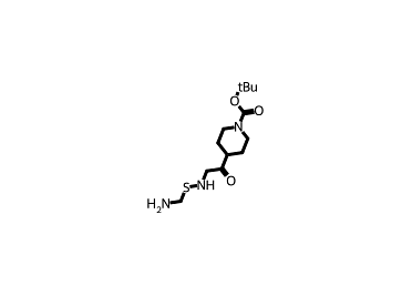 CC(C)(C)OC(=O)N1CCC(C(=O)CNSCN)CC1